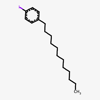 CCCCCCCCCCCCc1ccc(I)cc1